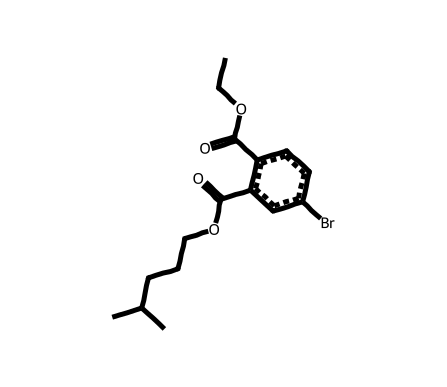 CCOC(=O)c1ccc(Br)cc1C(=O)OCCCC(C)C